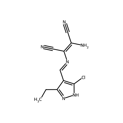 CCc1n[nH]c(Cl)c1/C=N/C(C#N)=C(\N)C#N